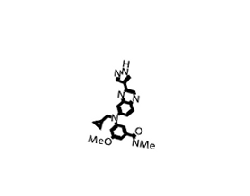 CNC(=O)c1cc(OC)cc(N(CC2CC2)c2ccc3ncc(-c4cn[nH]c4)nc3c2)c1